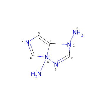 NN1C=N[N+]2(N)C=NC=C12